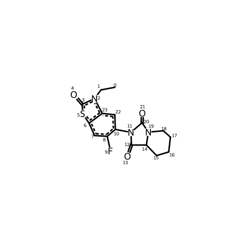 CCn1c(=O)sc2cc(F)c(N3C(=O)C4CCCCN4C3=O)cc21